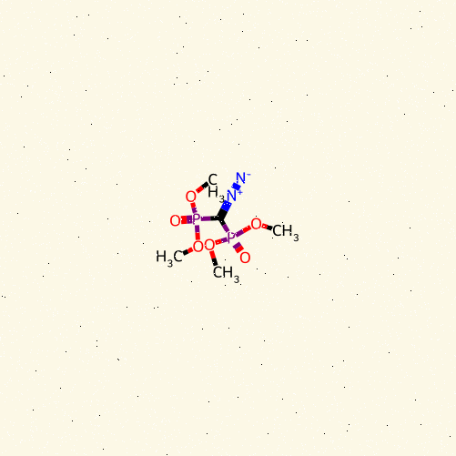 COP(=O)(OC)C(=[N+]=[N-])P(=O)(OC)OC